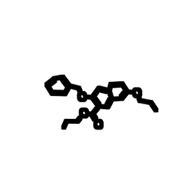 CCCOC(=O)c1cc2cc(OCCC)ccc2cc1OCc1ccccc1